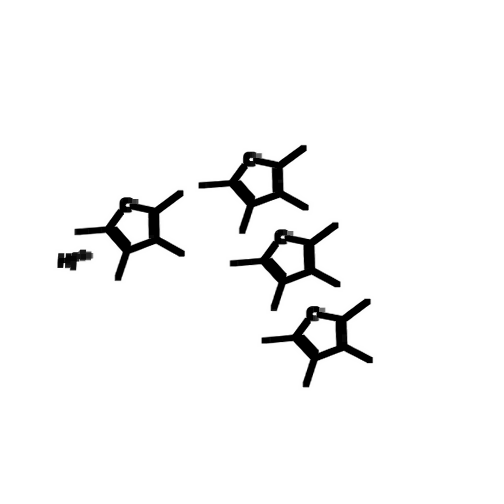 Cc1[cH-]c(C)c(C)c1C.Cc1[cH-]c(C)c(C)c1C.Cc1[cH-]c(C)c(C)c1C.Cc1[cH-]c(C)c(C)c1C.[Hf+4]